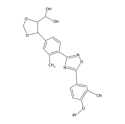 Cc1cc(C2OCOC2C(O)O)ccc1-c1noc(-c2ccc(OC(C)C)c(C#N)c2)n1